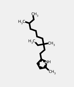 CCC(C)CCCCC(C)(CC)CCc1ccc(C)[nH]1